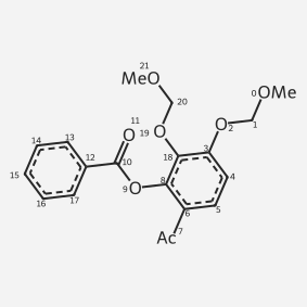 COCOc1ccc(C(C)=O)c(OC(=O)c2ccccc2)c1OCOC